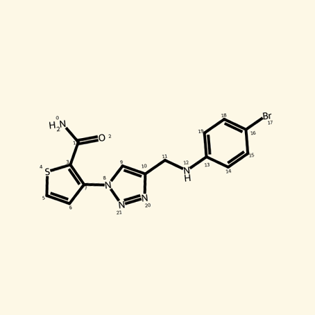 NC(=O)c1sccc1-n1cc(CNc2ccc(Br)cc2)nn1